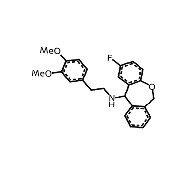 COc1ccc(CCNC2c3ccccc3COc3ccc(F)cc32)cc1OC